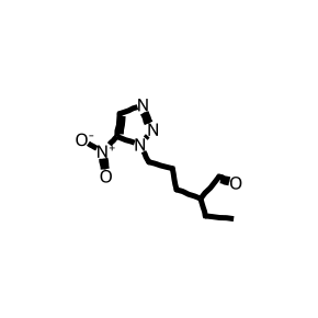 CCC(C=O)CCCn1nncc1[N+](=O)[O-]